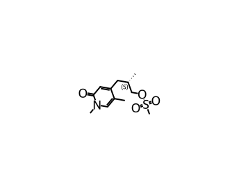 Cc1cn(C)c(=O)cc1C[C@H](C)COS(C)(=O)=O